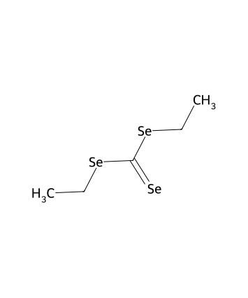 CC[Se]C(=[Se])[Se]CC